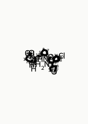 NC(C(=O)N[C@H]1CCCC[C@@H]1CC[C@H]1CN[C@@H]2CCCS(=O)(=O)N1C2)C(c1ccc(Cl)cc1)C1CCOCC1